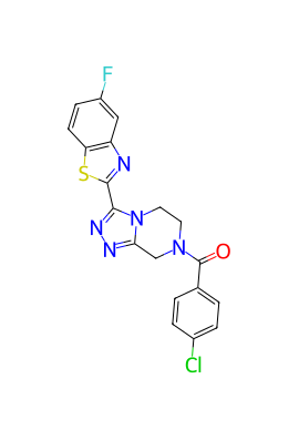 O=C(c1ccc(Cl)cc1)N1CCn2c(nnc2-c2nc3cc(F)ccc3s2)C1